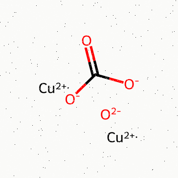 O=C([O-])[O-].[Cu+2].[Cu+2].[O-2]